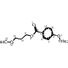 CCCCCCOc1ccc(C(=O)OCCCOC=O)cc1